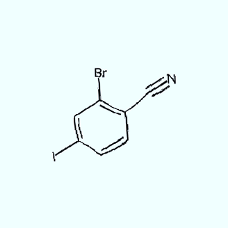 N#Cc1ccc(I)cc1Br